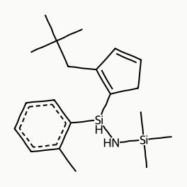 Cc1ccccc1[SiH](N[Si](C)(C)C)C1=C(CC(C)(C)C)C=CC1